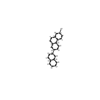 Ic1ccc2c(ccc3cc(-c4ccc5ccccc5c4)ccc32)c1